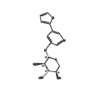 O[C@@H]1[C@@H](O)[C@H](Oc2cncc(-c3ccco3)c2)SC[C@H]1O